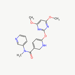 COc1cc(OC)nc(OC2=CC=C(C(=O)N(C)c3cccnc3)CN2)n1